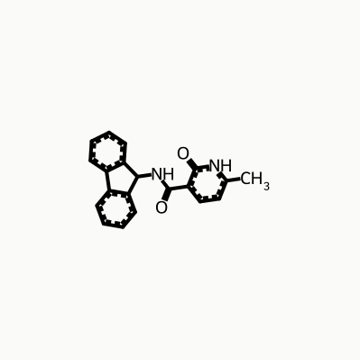 Cc1ccc(C(=O)NC2c3ccccc3-c3ccccc32)c(=O)[nH]1